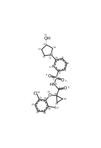 O=C(NS(=O)(=O)c1cccc(N2CC[C@H](O)C2)n1)C1(Oc2c(Cl)cccc2I)CC1